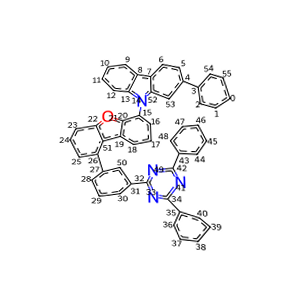 c1ccc(-c2ccc3c4ccccc4n(-c4cccc5c4oc4cccc(-c6cccc(-c7nc(-c8ccccc8)nc(-c8ccccc8)n7)c6)c45)c3c2)cc1